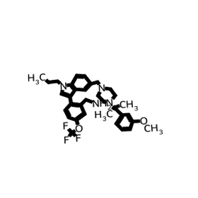 CCCn1cc(-c2ccc(OC(F)(F)F)cc2CN)c2cc(CN3CCN(C(C)(C)c4cccc(OC)c4)CC3)ccc21